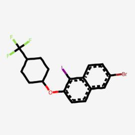 FC(F)(F)C1CCC(Oc2ccc3cc(Br)ccc3c2I)CC1